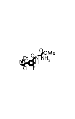 CCn1ncc(Cl)c1-c1cc(F)cc(C(=O)NC[C@@H](N)C(=O)OC)c1